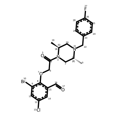 C[C@@H]1CN(C(=O)COc2c(Br)cc(Cl)cc2C=O)[C@@H](C)CN1Cc1ccc(F)cc1